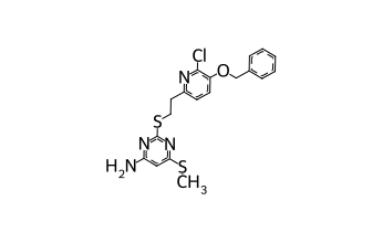 CSc1cc(N)nc(SCCc2ccc(OCc3ccccc3)c(Cl)n2)n1